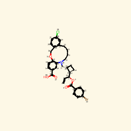 C=C[C@H](OC(=O)c1ccc(Br)cc1)[C@@H]1CC[C@H]1CN1CCCCc2cc(Cl)ccc2COc2ccc(C(=O)O)cc21